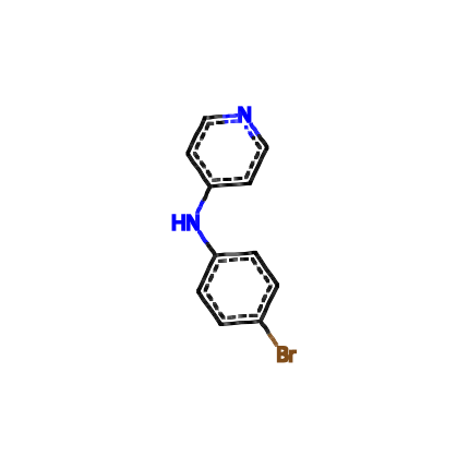 Brc1ccc(Nc2ccncc2)cc1